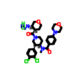 CN(C(=O)c1ccc(N2CCOCC2)cc1)[C@@H]1CCN(C(=O)[C@H]2CCOC[C@H]2N)C[C@H]1c1ccc(Cl)c(Cl)c1.Cl